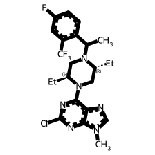 CC[C@H]1CN(C(C)c2ccc(F)cc2C(F)(F)F)[C@H](CC)CN1c1nc(Cl)nc2c1ncn2C